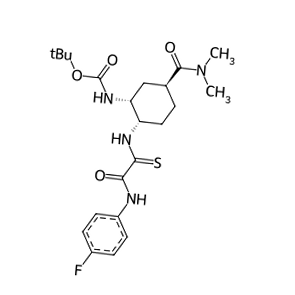 CN(C)C(=O)[C@H]1CC[C@H](NC(=S)C(=O)Nc2ccc(F)cc2)[C@H](NC(=O)OC(C)(C)C)C1